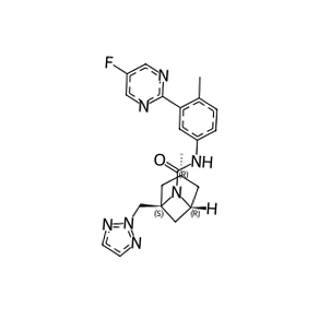 Cc1ccc(NC(=O)N2[C@@H]3C[C@@H](C)C[C@@]2(Cn2nccn2)C3)cc1-c1ncc(F)cn1